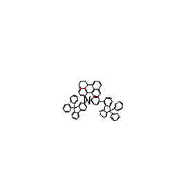 c1ccc(C2(c3ccccc3)c3ccccc3-c3ccc(N(c4ccc(-c5cccc6c5-c5ccccc5C6(c5ccccc5)c5ccccc5)cc4)c4ccccc4-c4cccc5cccc(C6CCCCC6)c45)cc32)cc1